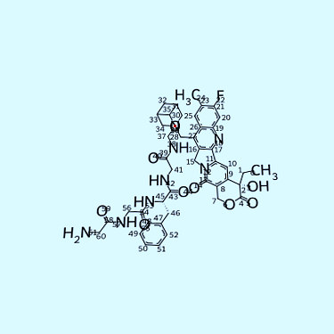 CC[C@@]1(O)C(=O)OCc2c1cc1n(c2=O)Cc2c-1nc1cc(F)c(C)cc1c2CN1CC2CC(C1)C2OCNC(=O)CNC(=O)[C@H](Cc1ccccc1)NC(=O)CNC(=O)CN